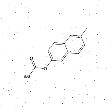 CCC(C)C(=O)Oc1ccc2cc(C)ccc2c1